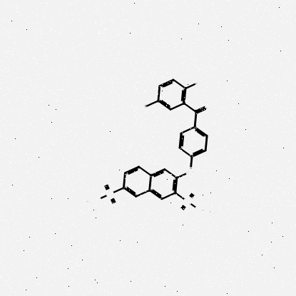 CC(C)COS(=O)(=O)c1ccc2cc(Oc3ccc(C(=O)c4cc(Cl)ccc4Cl)cc3)c(S(=O)(=O)OCC(C)C)cc2c1